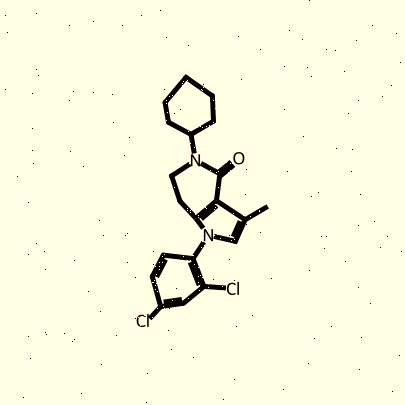 Cc1cn(-c2ccc(Cl)cc2Cl)c2c1C(=O)N(C1CCCCC1)CC2